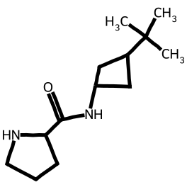 CC(C)(C)C1CC(NC(=O)C2CCCN2)C1